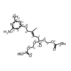 C/C(=C\CP(=O)(OCOC(=O)C(C)(C)C)OCOC(=O)C(C)(C)C)COc1cc(N)nc(N)n1